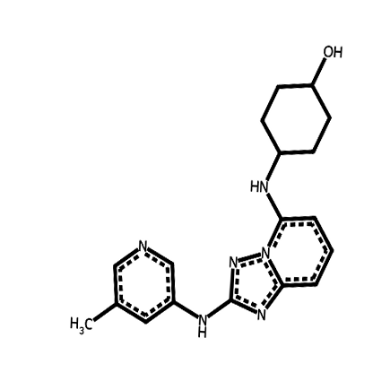 Cc1cncc(Nc2nc3cccc(NC4CCC(O)CC4)n3n2)c1